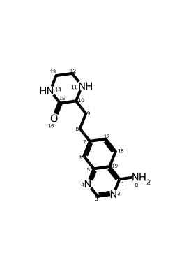 Nc1ncnc2cc(CCC3NCCNC3=O)ccc12